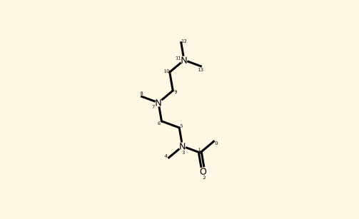 CC(=O)N(C)CCN(C)CCN(C)C